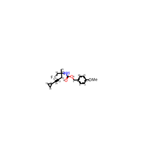 COc1ccc(COC(=O)NC(C)(CC#CC2CC2)CC(F)(F)F)cc1